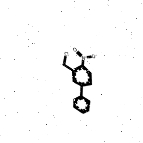 O=[N+]([O-])c1ccc(-c2ccccc2)cc1[CH]Cl